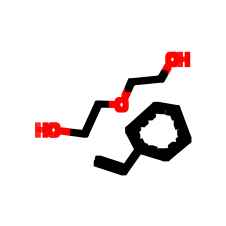 C=Cc1ccccc1.OCCOCCO